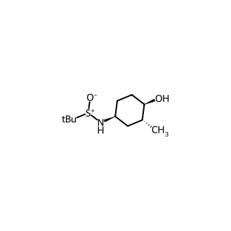 C[C@@H]1C[C@@H](N[S+]([O-])C(C)(C)C)CC[C@H]1O